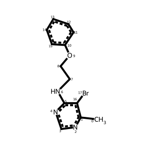 Cc1ncnc(NCCOc2ccccc2)c1Br